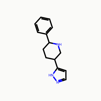 c1ccc(C2CCC(c3ccn[nH]3)CN2)cc1